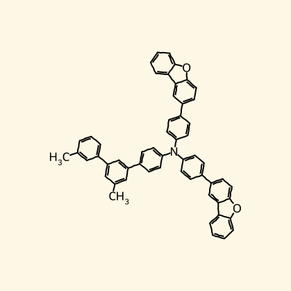 Cc1cccc(-c2cc(C)cc(-c3ccc(N(c4ccc(-c5ccc6oc7ccccc7c6c5)cc4)c4ccc(-c5ccc6oc7ccccc7c6c5)cc4)cc3)c2)c1